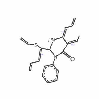 C=C/C=C(\SC=C)C1NC(=C/C=C)/C(=C\C)C(=O)N1c1ccccc1